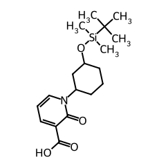 CC(C)(C)[Si](C)(C)OC1CCCC(n2cccc(C(=O)O)c2=O)C1